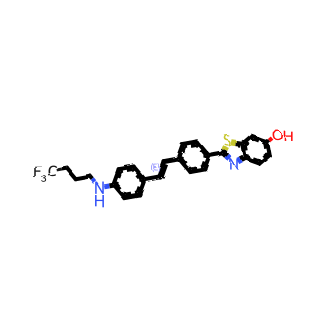 Oc1ccc2nc(-c3ccc(/C=C/c4ccc(NCCCC(F)(F)F)cc4)cc3)sc2c1